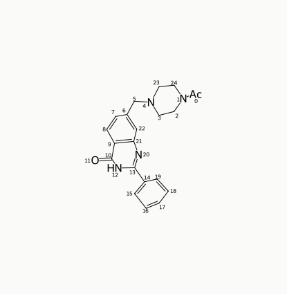 CC(=O)N1CCN(Cc2ccc3c(=O)[nH]c(-c4ccccc4)nc3c2)CC1